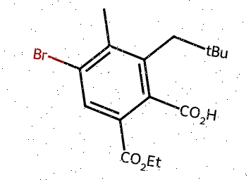 CCOC(=O)c1cc(Br)c(C)c(CC(C)(C)C)c1C(=O)O